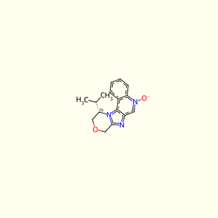 CC(C)[C@H]1COCc2nc3c[n+]([O-])c4ccccc4c3n21